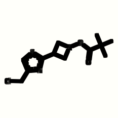 CC(C)(C)C(=O)ON1CC(c2nc(CCl)cs2)C1